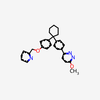 COc1ccc(-c2ccc(C3(c4ccc(OCc5ccccn5)cc4)CCCCC3)cc2)nn1